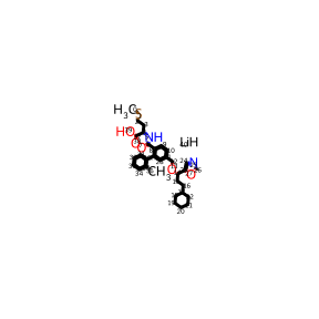 CSCCC(NC(=O)c1ccc(COC(CCC2CCCCC2)c2cnco2)cc1-c1ccccc1C)C(=O)O.[LiH]